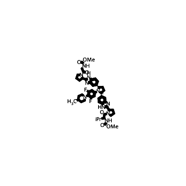 COC(=O)NCC(=O)N1CCCC1c1nc2cc([C@H]3CC[C@H](c4ccc5[nH]c(C6CCCN6C(=O)C(NC(=O)OC)C(C)C)nc5c4)N3c3cc(F)c(N4CCC(C)CC4)c(F)c3)ccc2[nH]1